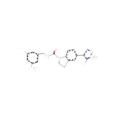 COc1cc(F)cc(CNC(=O)N2CCc3cc(-c4cn[nH]c4F)ccc32)c1